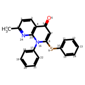 Cc1ccc2c(=O)cc(Sc3ccccc3)n(-c3ccccc3)c2n1